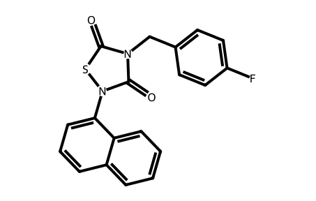 O=c1sn(-c2cccc3ccccc23)c(=O)n1Cc1ccc(F)cc1